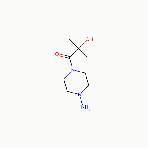 CC(C)(O)C(=O)N1CCN(N)CC1